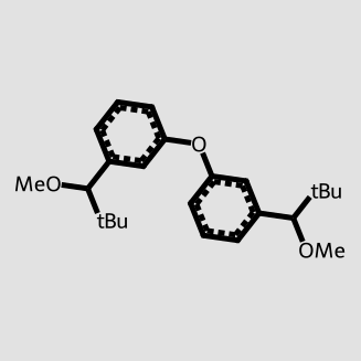 COC(c1cccc(Oc2cccc(C(OC)C(C)(C)C)c2)c1)C(C)(C)C